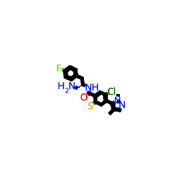 Cc1cnn(C)c1C1=C(Cl)C=C(C(=O)N[C@H](CN)Cc2ccc(F)cc2)C(=S)C1